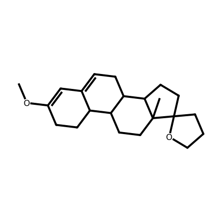 COC1=CC2=CCC3C(CCC4(C)C3CCC43CCCO3)C2CC1